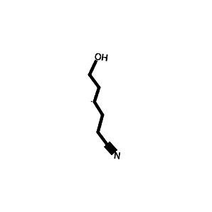 N#CCC[CH]CCO